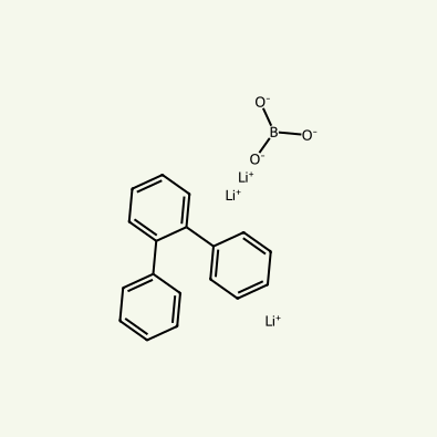 [Li+].[Li+].[Li+].[O-]B([O-])[O-].c1ccc(-c2ccccc2-c2ccccc2)cc1